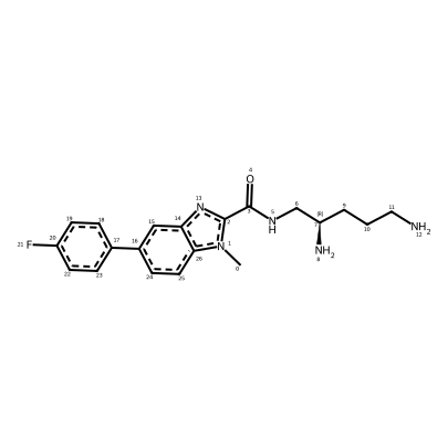 Cn1c(C(=O)NC[C@H](N)CCCN)nc2cc(-c3ccc(F)cc3)ccc21